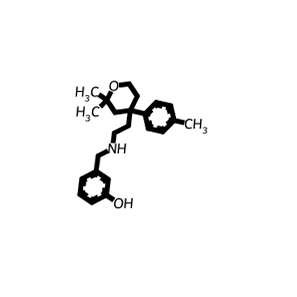 Cc1ccc(C2(CCNCc3cccc(O)c3)CCOC(C)(C)C2)cc1